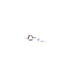 CNC(=S)N/N=C/c1ccc(OC)c(Br)c1